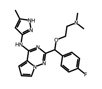 Cc1cc(Nc2nc(C(OCCN(C)C)c3ccc(F)cc3)nn3cccc23)n[nH]1